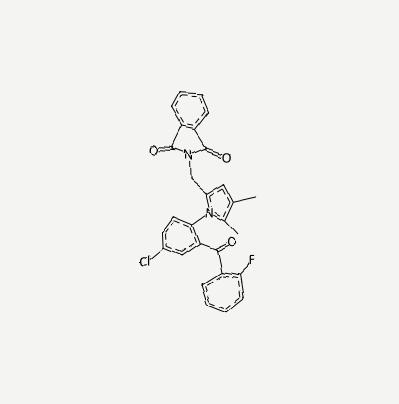 Cc1cc(CN2C(=O)c3ccccc3C2=O)n(-c2ccc(Cl)cc2C(=O)c2ccccc2F)c1C